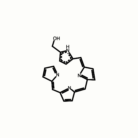 OCc1ccc(C=C2C=CC(C=C3C=CC(C=C4C=CC=N4)=N3)=N2)[nH]1